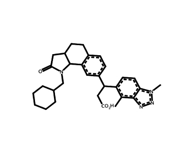 Cc1c(C(CC(=O)O)c2ccc3c(c2)C2C(CC3)CC(=O)N2CC2CCCCC2)ccc2c1nnn2C